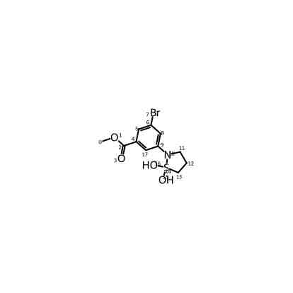 COC(=O)c1cc(Br)cc(N2CCCS2(O)O)c1